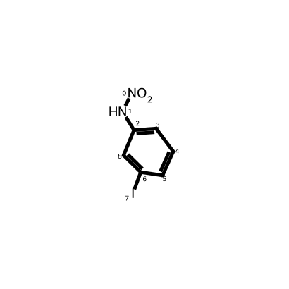 O=[N+]([O-])Nc1cccc(I)c1